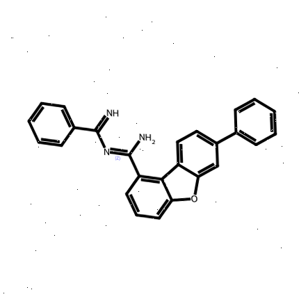 N=C(/N=C(\N)c1cccc2oc3cc(-c4ccccc4)ccc3c12)c1ccccc1